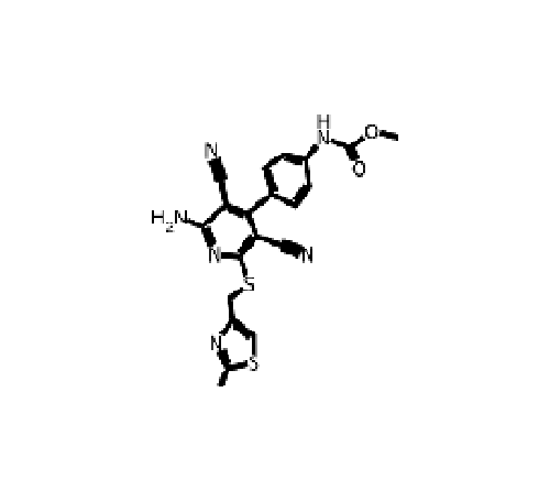 COC(=O)Nc1ccc(-c2c(C#N)c(N)nc(SCc3csc(C)n3)c2C#N)cc1